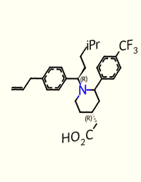 C=CCc1ccc([C@@H](CCC(C)C)N2CC[C@@H](CC(=O)O)CC2c2ccc(C(F)(F)F)cc2)cc1